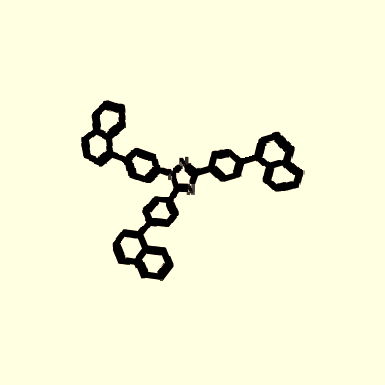 c1ccc2c(-c3ccc(-c4nc(-c5ccc(-c6cccc7ccccc67)cc5)n(-c5ccc(-c6cccc7ccccc67)cc5)n4)cc3)cccc2c1